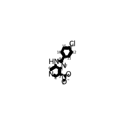 O=[N+]([O-])c1cncc2[nH]c(-c3ccc(Cl)cc3)nc12